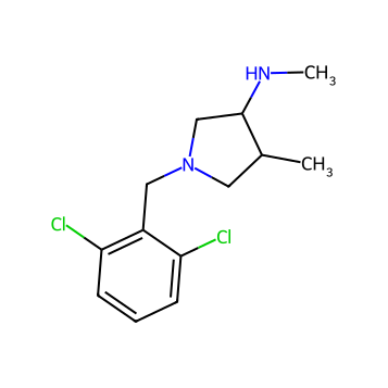 CNC1CN(Cc2c(Cl)cccc2Cl)CC1C